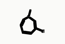 CN1C=CC=CC(Cl)=C1